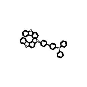 c1ccc(N(c2ccccc2)c2ccc(-c3ccc(-n4c5ccc6sc7ccccc7c6c5c5c6c(ccc54)sc4ccccc46)cc3)cc2)cc1